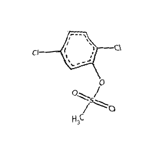 CS(=O)(=O)Oc1cc(Cl)[c]cc1Cl